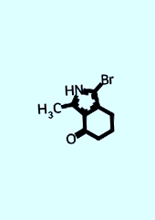 Cc1[nH]c(Br)c2c1C(=O)CCC2